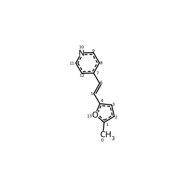 Cc1ccc(C=Cc2ccncc2)o1